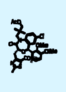 CCOC(=O)c1sc(C)nc1C[C@H]1O[C@H](c2cccc(OC)c2OC)c2cc(Cl)ccc2N(CC(C)(C)COC(C)=O)C1=O